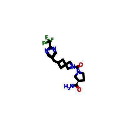 NC(=O)[C@H]1CCN(C(=O)N2CC3(CC(Cc4cnc(C(F)(F)F)nc4)C3)C2)C1